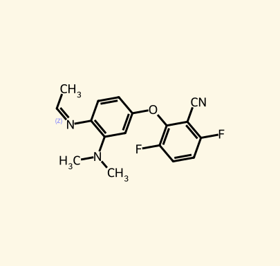 C/C=N\c1ccc(Oc2c(F)ccc(F)c2C#N)cc1N(C)C